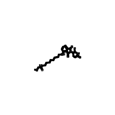 COCC(=O)NCCCCCCCCNc1cccc2c1C(=O)N(C1CCC(=O)NC1=O)C2=O